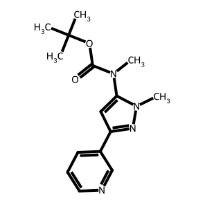 CN(C(=O)OC(C)(C)C)c1cc(-c2cccnc2)nn1C